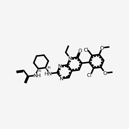 C=CC(=C)N[C@H]1CCCC[C@H]1Nc1ncc2cc(-c3c(Cl)c(OC)cc(OC)c3Cl)c(=O)n(CC)c2n1